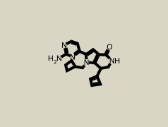 Nc1nccc(-c2cc3c(n2CC2CCC2)C(C2=CC=C2)CNC3=O)n1